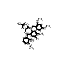 COc1ccc(CN2C(=O)[C@@H](CC(=O)O)O[C@H](c3cccc(OC)c3OC)c3cc(Cl)c(C)cc32)c(OC)c1